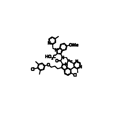 COc1ccc2c(c1)c(N1C[C@@H](C)n3c(c(CCCOc4cc(C)c(Cl)c(C)c4)c4ccc(Cl)c(-c5c(C)ncnc5C)c43)C1=O)c(C(=O)O)n2Cc1cc(C)ccn1